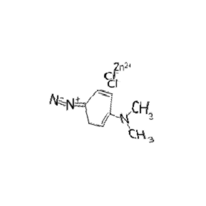 CN(C)C1=CCC(=[N+]=[N-])C=C1.[Cl-].[Cl-].[Zn+2]